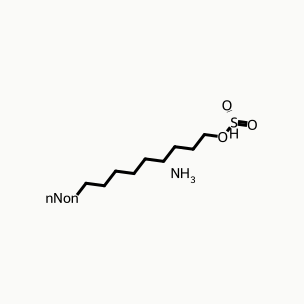 CCCCCCCCCCCCCCCCCCO[SH](=O)=O.N